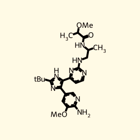 COc1cc(-c2nc(C(C)(C)C)[nH]c2-c2ccnc(NCC(C)NC(=O)C(C)OC)n2)cnc1N